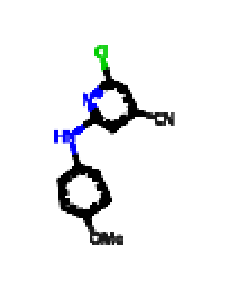 COc1ccc(Nc2cc(C#N)cc(Cl)n2)cc1